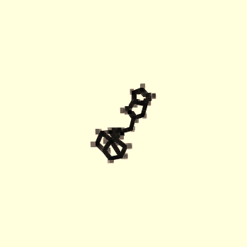 c1cc2c(s1)CC(CNC13CC4CC(CC(C4)C1)C3)=N2